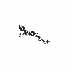 OCCOCCOc1ccc(-n2cc(Br)c(-c3ccncc3)n2)cc1